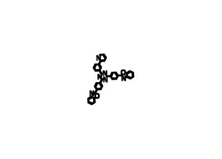 c1ccc(-c2cccc(-c3nc(-c4ccc(-c5nc6ccccc6o5)cc4)nc(-c4ccc(-c5nc6ccccc6o5)cc4)n3)c2)nc1